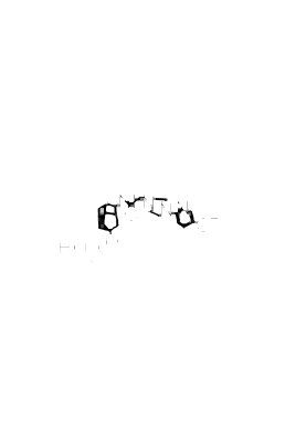 O=C(CN1CCN(c2ccc(C(F)(F)F)cn2)CC1)NC1C2CC3CC1CC(OC(=O)O)(C3)C2